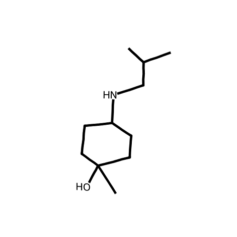 CC(C)CNC1CCC(C)(O)CC1